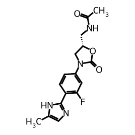 CC(=O)NC[C@H]1CN(c2ccc(-c3ncc(C)[nH]3)c(F)c2)C(=O)O1